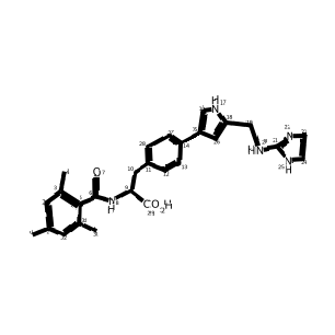 Cc1cc(C)c(C(=O)NC(Cc2ccc(-c3c[nH]c(CNc4ncc[nH]4)c3)cc2)C(=O)O)c(C)c1